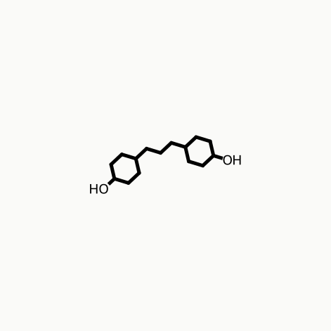 OC1CCC(CCCC2CCC(O)CC2)CC1